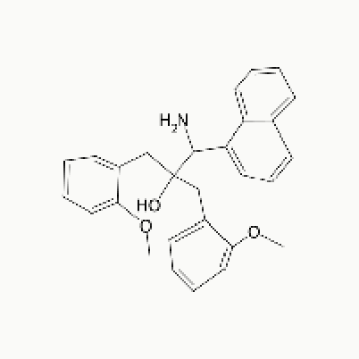 COc1ccccc1CC(O)(Cc1ccccc1OC)C(N)c1cccc2ccccc12